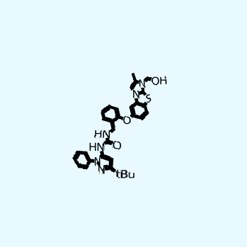 CC1=CN2c3cc(Oc4ccccc4CNC(=O)Nc4cc(C(C)(C)C)nn4-c4ccccc4)ccc3SC2N1CO